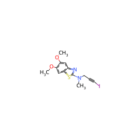 COc1cc2nc(N(C)CC#CI)sc2cc1OC